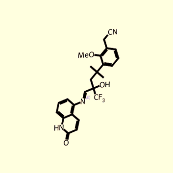 COc1c(CC#N)cccc1C(C)(C)CC(O)(/C=N/c1cccc2[nH]c(=O)ccc12)C(F)(F)F